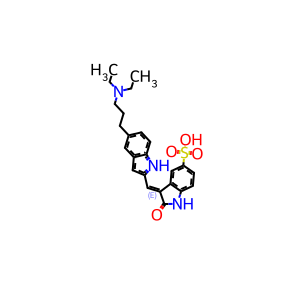 CCN(CC)CCCc1ccc2[nH]c(/C=C3/C(=O)Nc4ccc(S(=O)(=O)O)cc43)cc2c1